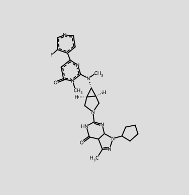 CC1=NN(C2CCCC2)C2N=C(N3C[C@@H]4[C@H](C3)[C@H]4N(C)c3nc(-c4ccncc4F)cc(=O)n3C)NC(=O)C12